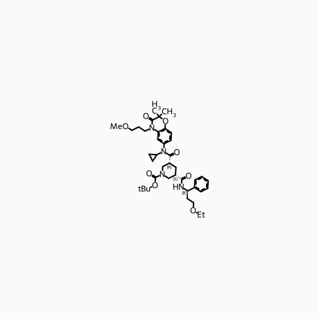 CCOCC[C@@H](NC(=O)[C@H]1C[C@@H](C(=O)N(c2ccc3c(c2)N(CCCOC)C(=O)C(C)(C)O3)C2CC2)CN(C(=O)OC(C)(C)C)C1)c1ccccc1